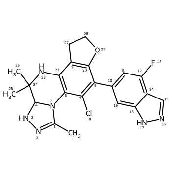 CC1=NNC2N1c1c(Cl)c(-c3cc(F)c4cn[nH]c4c3)c3c(c1NC2(C)C)CCO3